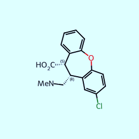 CNC[C@H]1c2cc(Cl)ccc2Oc2ccccc2[C@H]1C(=O)O